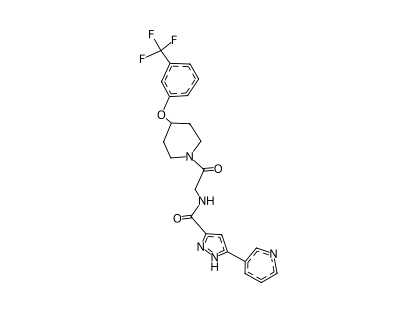 O=C(NCC(=O)N1CCC(Oc2cccc(C(F)(F)F)c2)CC1)c1cc(-c2cccnc2)[nH]n1